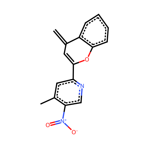 C=C1C=C(c2cc(C)c([N+](=O)[O-])cn2)Oc2ccccc21